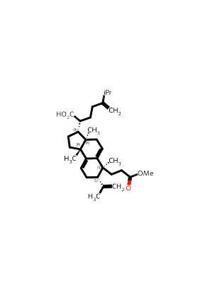 C=C(CCC(C(=O)O)[C@H]1CC[C@@]2(C)C3=CC[C@@H](C(=C)C)[C@](C)(CCC(=O)OC)C3=CC[C@]12C)C(C)C